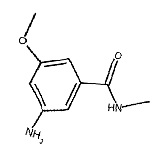 CNC(=O)c1cc(N)cc(OC)c1